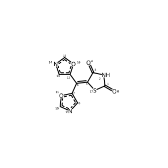 O=C1NC(=O)C(=C(c2cnco2)c2cnco2)S1